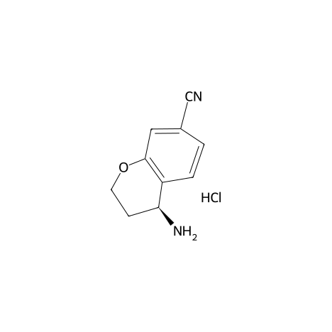 Cl.N#Cc1ccc2c(c1)OCC[C@@H]2N